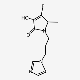 CC1C(F)=C(O)C(=O)N1CCCn1ccnc1